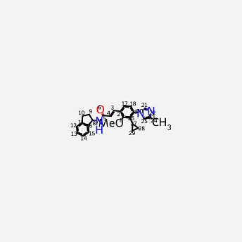 COc1c(/C=C/C(=O)NC2CCc3ccccc32)ccc(-n2cnc(C)c2)c1C1CC1